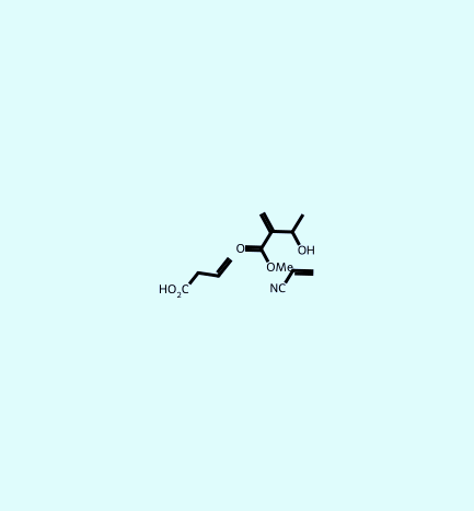 C=C(C(=O)OC)C(C)O.C=CC#N.C=CCC(=O)O